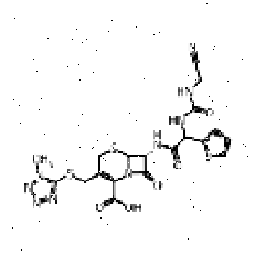 Cn1nnnc1SCC1=C(C(=O)O)N2C(=O)[C@@H](NC(=O)C(NC(=O)NCC#N)c3cccs3)C2SC1